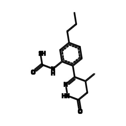 CCCc1ccc(C2=NNC(=O)CC2C)c(NC(=O)S)c1